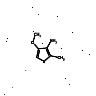 COc1csc(C)c1N